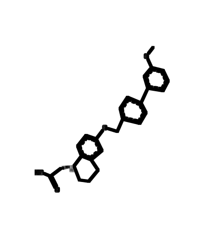 COc1cccc(-c2ccc(COc3ccc4c(c3)CCC[C@@H]4CC(=O)O)cc2)c1